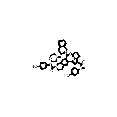 CN(C(=O)c1cc(-c2cc3c(cc2C(=O)N2Cc4ccccc4C[C@H]2CN2CCOCC2)CN(C(=O)Oc2ccc(C#N)cc2)CC3)n2c1CCCC2)c1ccc(O)cc1